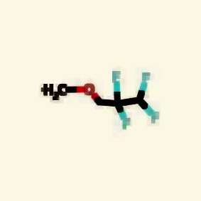 [CH2]OCC(F)(F)C(F)F